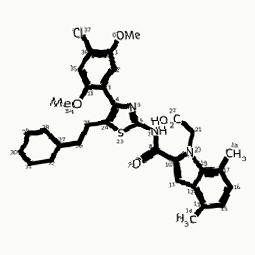 COc1cc(-c2nc(NC(=O)c3cc4c(C)ccc(C)c4n3CC(=O)O)sc2CCC2CCCCC2)c(OC)cc1Cl